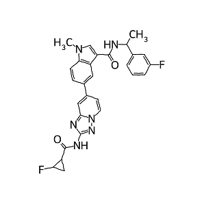 CC(NC(=O)c1cn(C)c2ccc(-c3ccn4nc(NC(=O)C5CC5F)nc4c3)cc12)c1cccc(F)c1